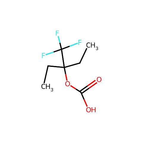 CCC(CC)(OC(=O)O)C(F)(F)F